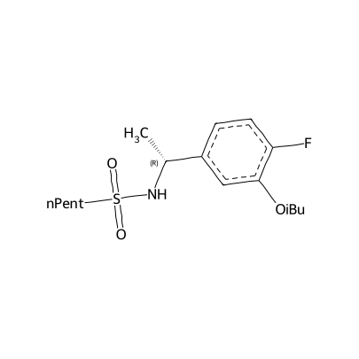 CCCCCS(=O)(=O)N[C@H](C)c1ccc(F)c(OCC(C)C)c1